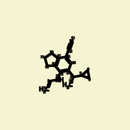 C=CNc1c([C@H](C)C2CC2)cc(C#N)c2c1CCC2